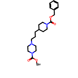 CC(C)(C)OC(=O)N1CCN(CCCC2CCN(C(=O)OCc3ccccc3)CC2)CC1